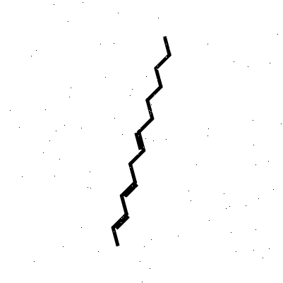 CC=CC=CCC=CCCCCCC